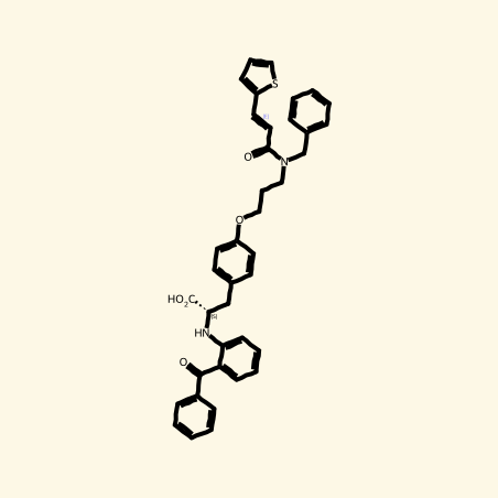 O=C(c1ccccc1)c1ccccc1N[C@@H](Cc1ccc(OCCCN(Cc2ccccc2)C(=O)/C=C/c2cccs2)cc1)C(=O)O